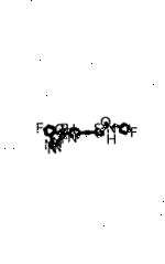 O=C(NCc1ccc(F)cc1)c1ccc(C#Cc2ccc(C(F)(F)C3(O)Cn4nnnc4-c4cc(F)ccc43)nc2)s1